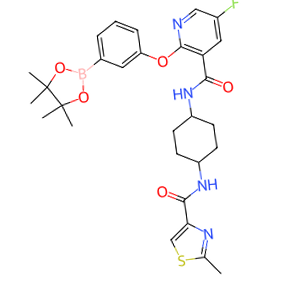 Cc1nc(C(=O)NC2CCC(NC(=O)c3cc(F)cnc3Oc3cccc(B4OC(C)(C)C(C)(C)O4)c3)CC2)cs1